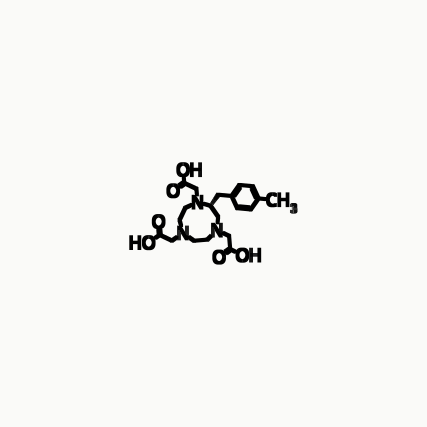 Cc1ccc(C[C@H]2CN(CC(=O)O)CCN(CC(=O)O)CCN2CC(=O)O)cc1